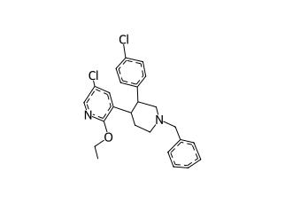 CCOc1ncc(Cl)cc1C1CCN(Cc2ccccc2)CC1c1ccc(Cl)cc1